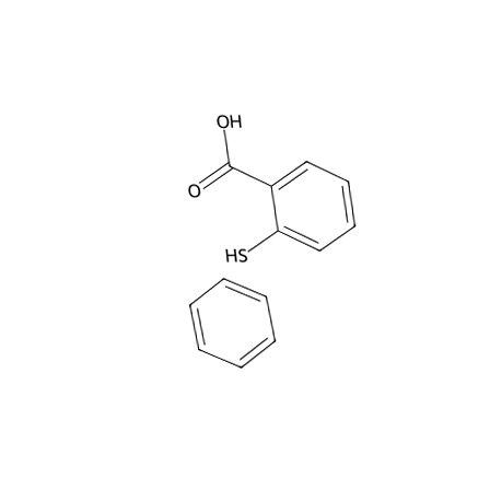 O=C(O)c1ccccc1S.c1ccccc1